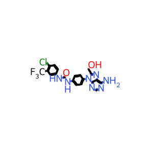 Nc1ncnc2c1nc(CO)n2-c1ccc(NC(=O)Nc2ccc(Cl)c(C(F)(F)F)c2)cc1